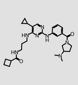 CN(C)C1CCN(C(=O)c2cccc(Nc3ncc(C4CC4)c(NCCCNC(=O)C4CCC4)n3)c2)C1